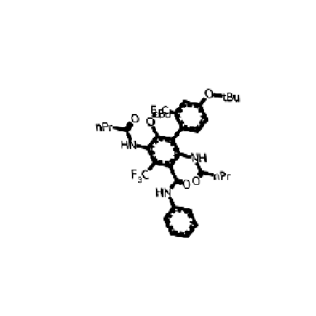 CCCC(=O)Nc1c(C(=O)Nc2ccccc2)c(C(F)(F)F)c(NC(=O)CCC)c(OC(C)(C)C)c1-c1ccc(OC(C)(C)C)cc1C(F)(F)F